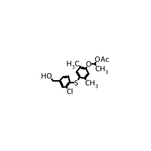 CC(=O)OC(C)Oc1cc(C)c(Sc2ccc(CO)cc2Cl)cc1C